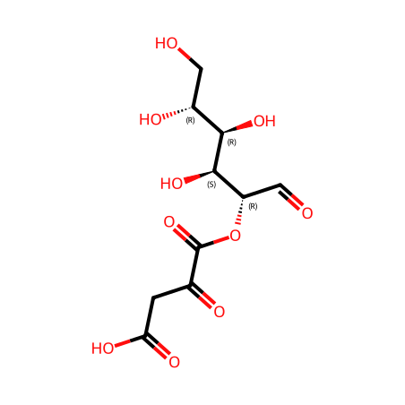 O=C[C@H](OC(=O)C(=O)CC(=O)O)[C@@H](O)[C@H](O)[C@H](O)CO